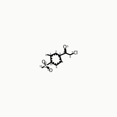 Cc1cc(C(=O)CCl)ccc1S(C)(=O)=O